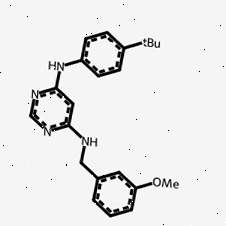 COc1cccc(CNc2cc(Nc3ccc(C(C)(C)C)cc3)ncn2)c1